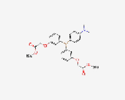 CN(C)c1ccc([S+](c2cccc(OCC(=O)OC(C)(C)C)c2)c2cccc(OCC(=O)OC(C)(C)C)c2)cc1